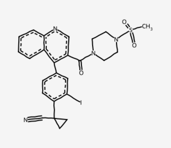 CS(=O)(=O)N1CCN(C(=O)c2cnc3ccccc3c2-c2ccc(C3(C#N)CC3)c(I)c2)CC1